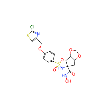 O=C(NO)C1(NS(=O)(=O)c2ccc(OCc3csc(Cl)n3)cc2)CC2OCOC2C1